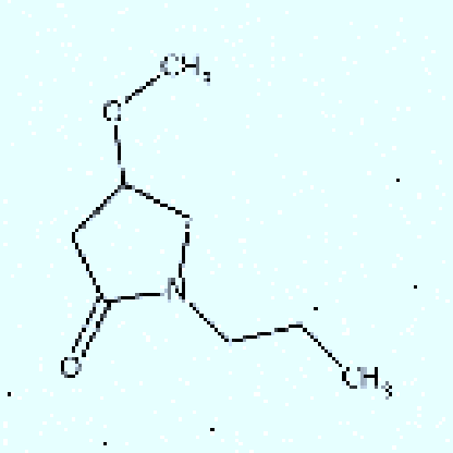 CCCN1CC(OC)CC1=O